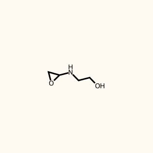 OCCNC1CO1